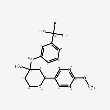 COc1ncc(C2CC(C)(Sc3cccc(C(F)(F)F)c3)CCO2)cn1